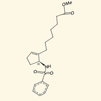 COC(=O)CCCCCCC1=CCC[C@@H]1NS(=O)(=O)c1ccccc1